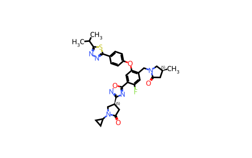 CC(C)c1nnc(-c2ccc(Oc3cc(-c4nc([C@H]5CC(=O)N(C6CC6)C5)no4)c(F)cc3CN3C[C@@H](C)CC3=O)cc2)s1